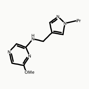 COc1cncc(NCc2cnn(C(C)C)c2)n1